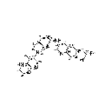 Cc1c(N2CCc3cnc(Nc4cnc5c(c4)CN(CC(F)F)CC5)nc3C2)cnc2c1NCCO2